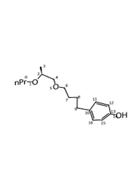 CCCO[C@@H](C)COCCCCc1ccc(O)cc1